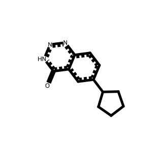 O=c1[nH]nnc2ccc(C3CCCC3)cc12